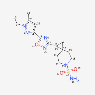 CCn1nc(-c2nc([C@@H]3CC34CCN(S(N)(=O)=O)CC4)no2)cc1C